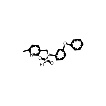 CCS(=O)(=O)N(Cc1ccc(C)nc1)c1cccc(Oc2ccccc2)c1